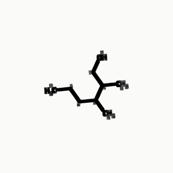 CCCC(C)C(C)CO